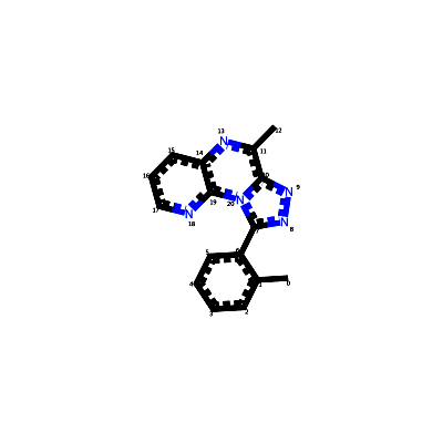 Cc1ccccc1-c1nnc2c(C)nc3cccnc3n12